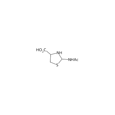 CC(=O)NC1NC(C(=O)O)CS1